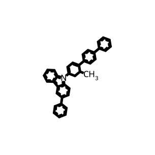 CC1CC(n2c3ccccc3c3cc(-c4ccccc4)ccc32)=CC=C1c1ccc(-c2ccccc2)cc1